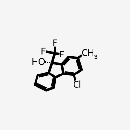 Cc1cc(Cl)c2c(c1)[C@](O)(C(F)(F)F)c1ccccc1-2